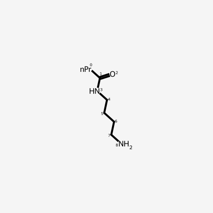 CCCC(=O)NCCCCN